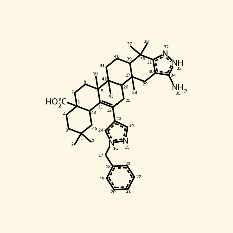 CC1(C)CCC2(C(=O)O)CCC3(C)C(=C(c4cnn(Cc5ccccc5)c4)CC4C5(C)Cc6c(n[nH]c6N)C(C)(C)C5CCC43C)C2C1